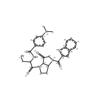 CC(C)CC(NC(=O)c1ccc(N(C)C)cc1)C(=O)N1CCC2C1C(=O)CN2C(=O)c1cc2ccccc2s1